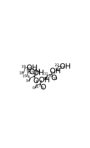 C=CC(=O)O.C=CC(=O)O.C=CC(=O)O.CCO.CCO.CCO